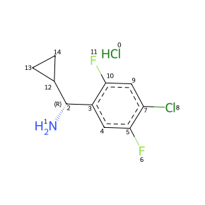 Cl.N[C@@H](c1cc(F)c(Cl)cc1F)C1CC1